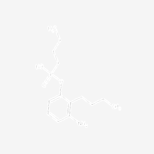 CCCCc1c(N)cccc1OP(=O)(O)CCCC